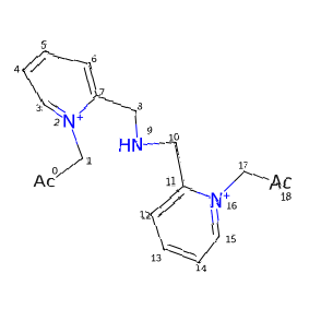 CC(=O)C[n+]1ccccc1CNCc1cccc[n+]1CC(C)=O